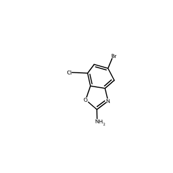 Nc1nc2cc(Br)cc(Cl)c2o1